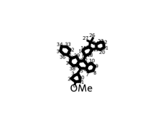 COc1ccc(-c2c3ccccc3c(-c3ccc4c(c3)-c3ccccc3C4(C)C)c3cc(-c4ccccc4)ccc23)cc1